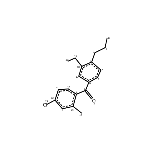 CCCc1ccc(C(=O)c2ccc(Cl)cc2C)cc1CC